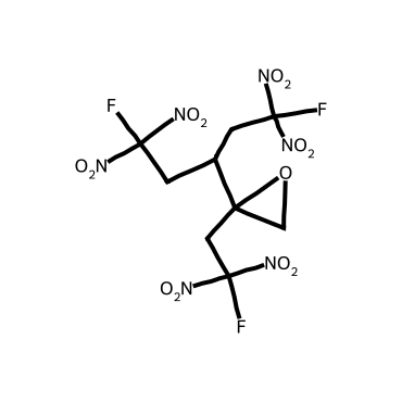 O=[N+]([O-])C(F)(C[C](CC(F)([N+](=O)[O-])[N+](=O)[O-])C1(CC(F)([N+](=O)[O-])[N+](=O)[O-])CO1)[N+](=O)[O-]